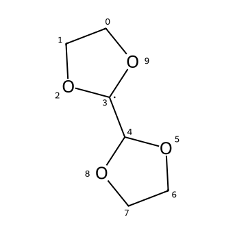 C1CO[C](C2OCCO2)O1